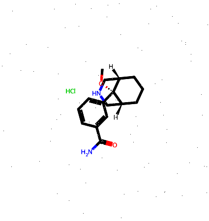 CO[C@@]1(c2cccc(C(N)=O)c2)[C@@H]2CCC[C@H]1CNC2.Cl